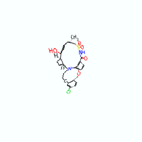 C[C@H]1C/C=C/[C@H](O)[C@@H]2CC[C@H]2CN2CCCCc3cc(Cl)ccc3COc3ccc(cc32)C(=O)NS(=O)(=O)C1